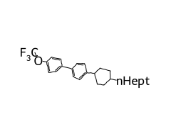 CCCCCCCC1CCC(c2ccc(-c3ccc(OC(F)(F)F)cc3)cc2)CC1